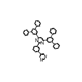 c1ccc(-c2cc(-c3ccccc3)cc(-c3cc(-c4cc(-c5ccccc5)cc(-c5ccccc5)c4)nc(-c4cccc(-c5cncnc5)c4)n3)c2)cc1